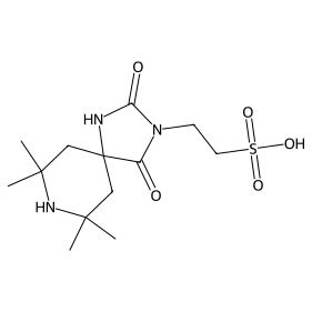 CC1(C)CC2(CC(C)(C)N1)NC(=O)N(CCS(=O)(=O)O)C2=O